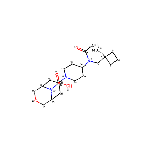 CC(=O)N(CC1(C)CCC1)C1CCN(C2CC3COCC(C2)N3C(=O)O)CC1